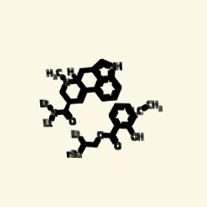 CC.CCCCC(CC)COC(=O)c1ccccc1O.CCN(CC)C(=O)[C@@H]1C=C2c3cccc4[nH]cc(c34)C[C@H]2N(C)C1